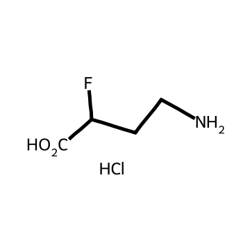 Cl.NCCC(F)C(=O)O